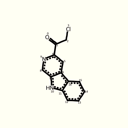 O=C(CCl)c1cc2c(cn1)[nH]c1ccccc12